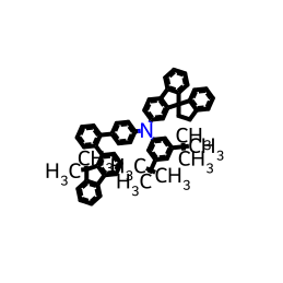 CC(C)(C)c1cc(N(c2ccc(-c3ccccc3-c3cccc4c3C(C)(C)c3ccccc3-4)cc2)c2ccc3c(c2)C2(CCc4ccccc42)c2ccccc2-3)cc(C(C)(C)C)c1